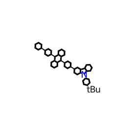 CC(C)(C)c1ccc(-n2c3ccccc3c3cc(-c4ccc(-c5c6ccccc6c(-c6ccc(-c7ccccc7)cc6)c6ccccc56)cc4)ccc32)cc1